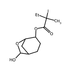 CCC(C)(I)C(=O)OC1CCC2CC1OC2O